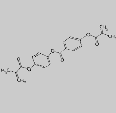 C=C(C)C(=O)Oc1ccc(OC(=O)c2ccc(OC(=O)C(=C)C)cc2)cc1